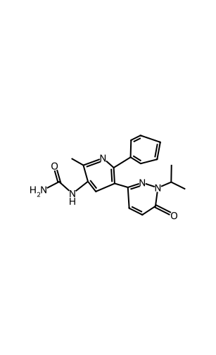 Cc1nc(-c2ccccc2)c(-c2ccc(=O)n(C(C)C)n2)cc1NC(N)=O